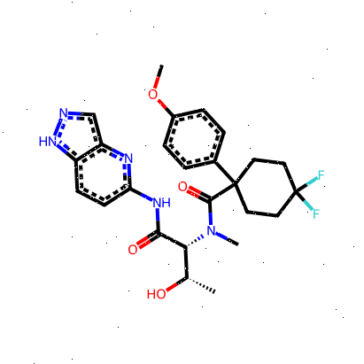 COc1ccc(C2(C(=O)N(C)[C@@H](C(=O)Nc3ccc4[nH]ncc4n3)[C@H](C)O)CCC(F)(F)CC2)cc1